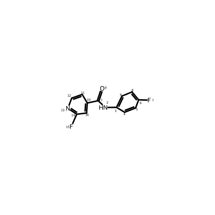 O=C(Nc1ccc(F)cc1)c1ccnc(F)c1